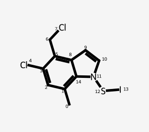 Cc1cc(Cl)c(CCl)c2ccn(SI)c12